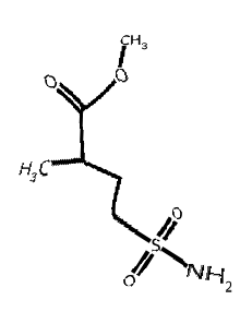 COC(=O)C(C)CCS(N)(=O)=O